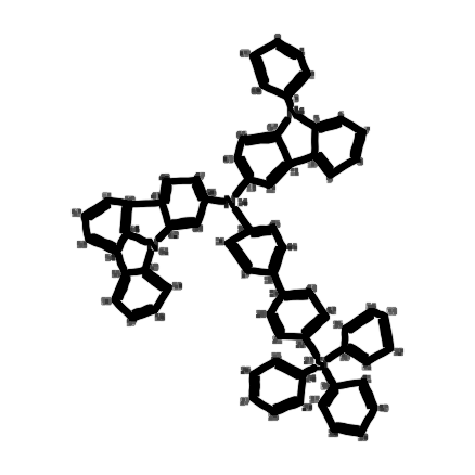 c1ccc(-n2c3ccccc3c3cc(N(c4ccc(-c5ccc([Si](c6ccccc6)(c6ccccc6)c6ccccc6)cc5)cc4)c4ccc5c6cccc7c8ccccc8n(c5c4)c76)ccc32)cc1